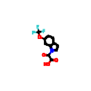 O=C(O)C(=O)n1ccc2ccc(OC(F)(F)F)cc21